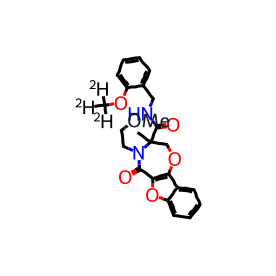 [2H]C([2H])([2H])Oc1ccccc1CNC(=O)C1(C)COc2c(oc3ccccc23)C(=O)N1CCOC